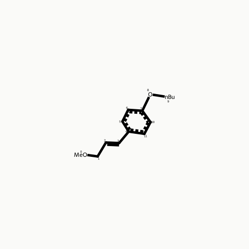 [CH2]OCC=Cc1ccc(OCCCC)cc1